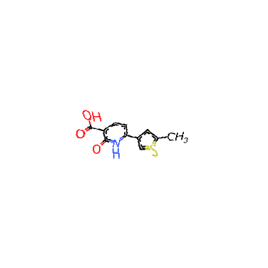 Cc1cc(-c2ccc(C(=O)O)c(=O)[nH]2)cs1